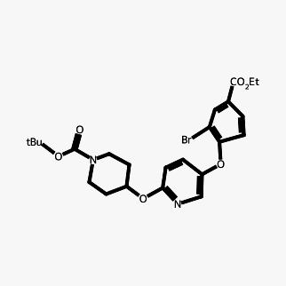 CCOC(=O)c1ccc(Oc2ccc(OC3CCN(C(=O)OC(C)(C)C)CC3)nc2)c(Br)c1